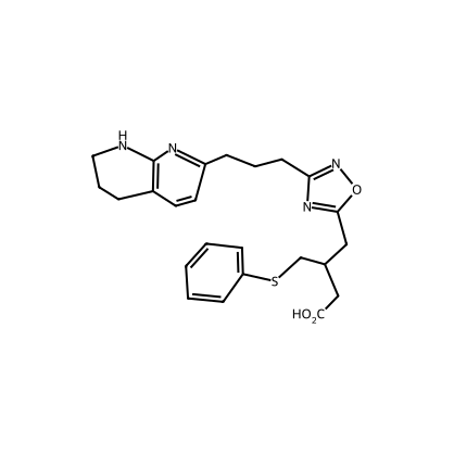 O=C(O)CC(CSc1ccccc1)Cc1nc(CCCc2ccc3c(n2)NCCC3)no1